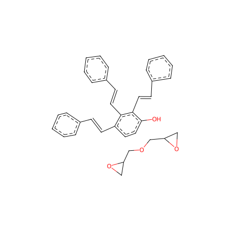 C(OCC1CO1)C1CO1.Oc1ccc(C=Cc2ccccc2)c(C=Cc2ccccc2)c1C=Cc1ccccc1